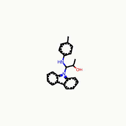 Cc1ccc(NC(C(C)O)n2c3ccccc3c3ccccc32)cc1